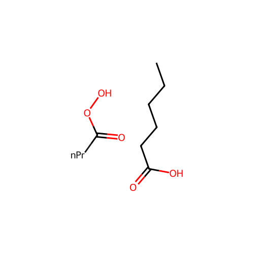 CCCC(=O)OO.CCCCCC(=O)O